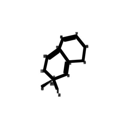 C[C@@]1(I)C=C2CCC=CC2=CC1